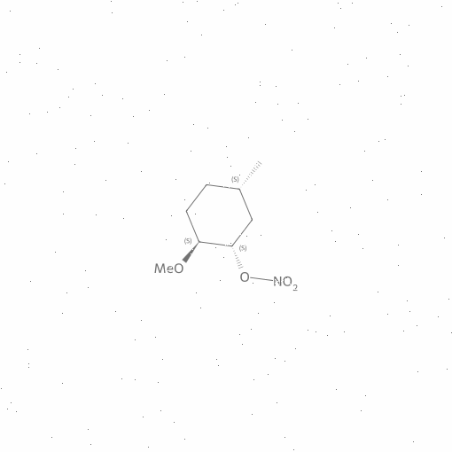 CO[C@H]1CC[C@H](C)C[C@@H]1O[N+](=O)[O-]